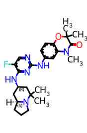 CN1C(=O)C(C)(C)Oc2ccc(Nc3ncc(F)c(N[C@@H]4C[C@@H]5CCCN5C(C)(C)C4)n3)cc21